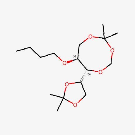 CCCCO[C@H]1COC(C)(C)OCO[C@@H]1C1COC(C)(C)O1